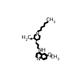 C=C[C@H]1CN(CCCCCCC)CC[C@H]1CCCNc1ccnc2ccc(OC)cc12